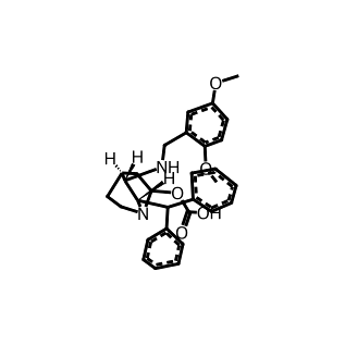 COc1ccc(OC)c(CN[C@H]2[C@H]3CCN(C(OC(=O)O)C3)[C@H]2C(c2ccccc2)c2ccccc2)c1